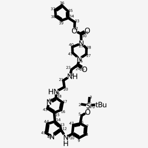 CC(C)(C)[Si](C)(C)OCc1cccc(Nc2cc(-c3ccc(NCCNCC(=O)N4CCN(C(=O)OCc5ccccc5)CC4)nc3)ccn2)c1